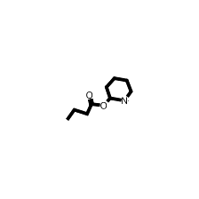 CCCC(=O)OC1CCCC[N]1